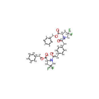 O=C(OCc1ccccc1)C1CC(F)(F)CN1C(=O)Cc1ccc(CC(=O)N2CC(F)(F)CC2C(=O)OCc2ccccc2)cc1